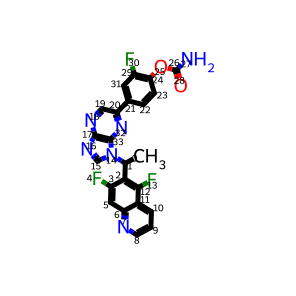 CC(c1c(F)cc2ncccc2c1F)n1cnc2ncc(-c3ccc(OC(N)=O)c(F)c3)nc21